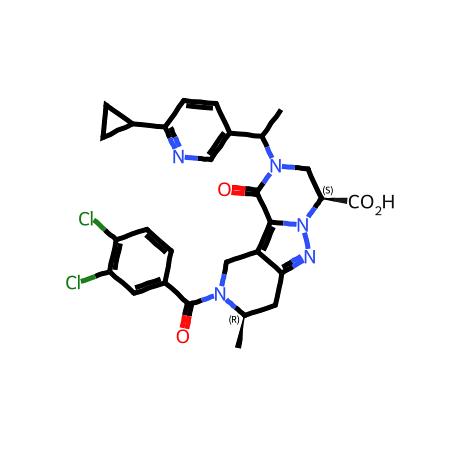 CC(c1ccc(C2CC2)nc1)N1C[C@@H](C(=O)O)n2nc3c(c2C1=O)CN(C(=O)c1ccc(Cl)c(Cl)c1)[C@H](C)C3